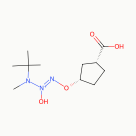 CN(/[N+](O)=N/O[C@H]1CC[C@@H](C(=O)O)C1)C(C)(C)C